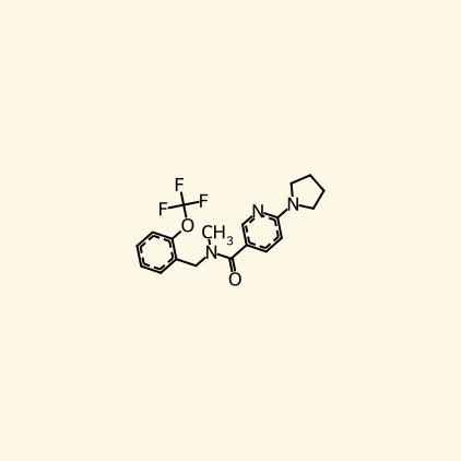 CN(Cc1ccccc1OC(F)(F)F)C(=O)c1ccc(N2CCCC2)nc1